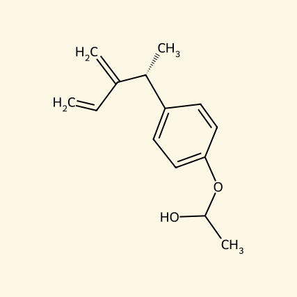 C=CC(=C)[C@H](C)c1ccc(OC(C)O)cc1